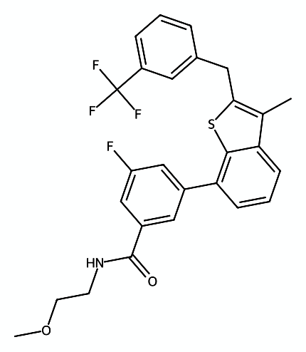 COCCNC(=O)c1cc(F)cc(-c2cccc3c(C)c(Cc4cccc(C(F)(F)F)c4)sc23)c1